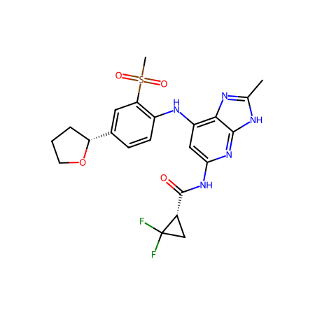 Cc1nc2c(Nc3ccc([C@H]4CCCO4)cc3S(C)(=O)=O)cc(NC(=O)[C@@H]3CC3(F)F)nc2[nH]1